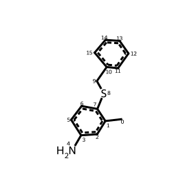 Cc1cc(N)ccc1SCc1ccccc1